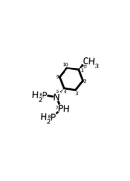 C[C@H]1CC[C@H](N(P)PP)CC1